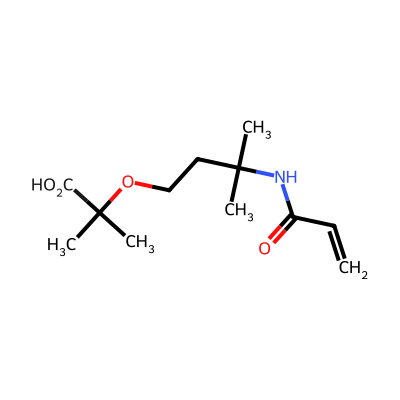 C=CC(=O)NC(C)(C)CCOC(C)(C)C(=O)O